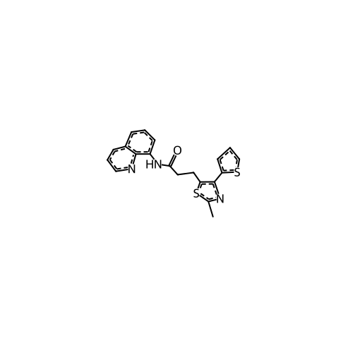 Cc1nc(-c2cccs2)c(CCC(=O)Nc2cccc3cccnc23)s1